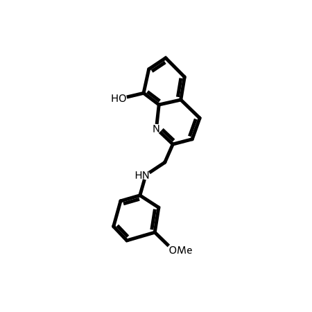 COc1cccc(NCc2ccc3cccc(O)c3n2)c1